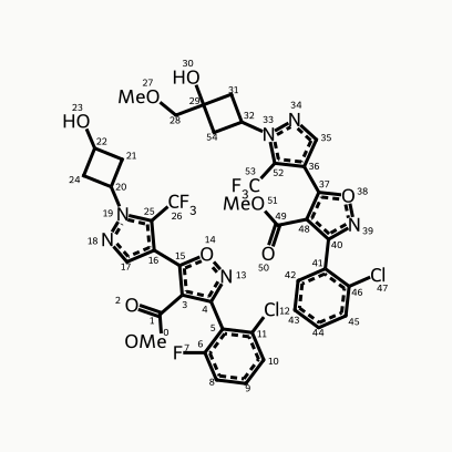 COC(=O)c1c(-c2c(F)cccc2Cl)noc1-c1cnn(C2CC(O)C2)c1C(F)(F)F.COCC1(O)CC(n2ncc(-c3onc(-c4ccccc4Cl)c3C(=O)OC)c2C(F)(F)F)C1